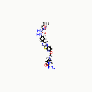 CC(C)(C)c1cc(NC(=O)Nc2ccc(-c3cn4c(n3)sc3nc(OCCN5C[C@@H]6C5CN6C(N)=O)ccc34)cc2)no1